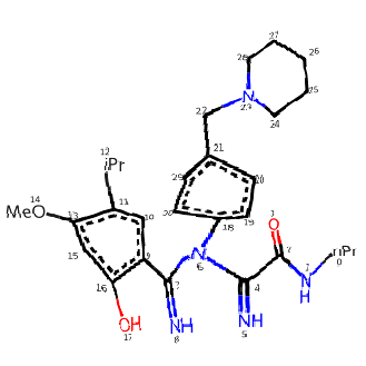 CCCNC(=O)C(=N)N(C(=N)c1cc(C(C)C)c(OC)cc1O)c1ccc(CN2CCCCC2)cc1